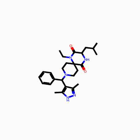 CCN1C(=O)C(CC(C)C)NC(=O)C12CCN(C(c1ccccc1)c1c(C)n[nH]c1C)CC2